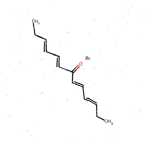 CC/C=C/C=C/C(=O)/C=C/C=C/CC.[Ru]